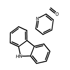 C=O.c1ccc2c(c1)[nH]c1ccccc12.c1ccncc1